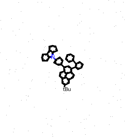 CC(C)(C)c1cc2ccc3c(-c4ccc(-n5c6ccccc6c6ccccc65)cc4)cc(-c4ccccc4-c4ccccc4)c4ccc(c1)c2c34